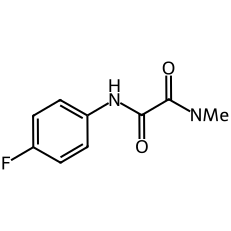 CNC(=O)C(=O)Nc1ccc(F)cc1